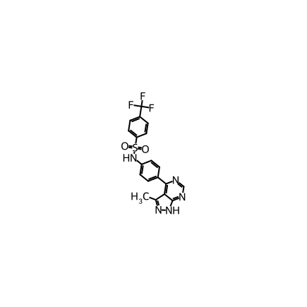 Cc1n[nH]c2ncnc(-c3ccc(NS(=O)(=O)c4ccc(C(F)(F)F)cc4)cc3)c12